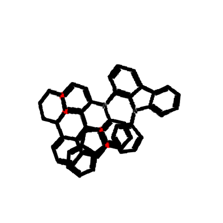 c1ccc(-n2c3ccccc3c3cccc(N(c4ccccc4-c4cccc5cccc(C6CCCCC6)c45)c4cccc5c4sc4ccccc45)c32)cc1